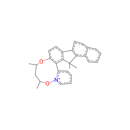 CC1CC(C)O[n+]2ccccc2-c2c(ccc3c2C(C)(C)c2c-3ccc3ccccc23)O1